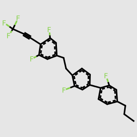 CCCc1ccc(-c2ccc(CCc3cc(F)c(C#CC(F)(F)F)c(F)c3)c(F)c2)c(F)c1